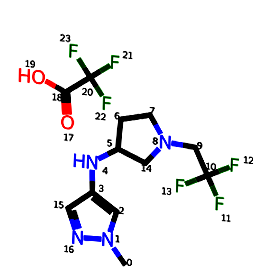 Cn1cc(NC2CCN(CC(F)(F)F)C2)cn1.O=C(O)C(F)(F)F